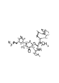 CC(NC(=O)N(C)C1CCN(C)CC1)c1ccc(-c2cncc(N)c2)c(Cl)c1Cl